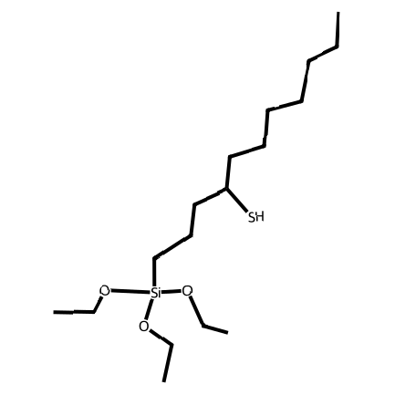 CCCCCCCC(S)CCC[Si](OCC)(OCC)OCC